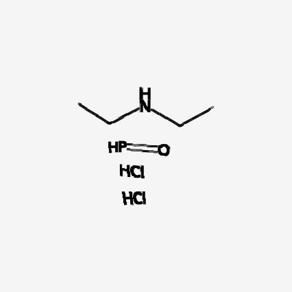 CCNCC.Cl.Cl.O=P